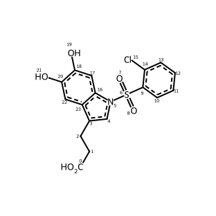 O=C(O)CCc1cn(S(=O)(=O)c2ccccc2Cl)c2cc(O)c(O)cc12